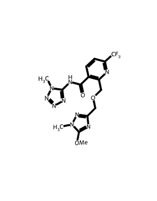 COc1nc(COCc2nc(C(F)(F)F)ccc2C(=O)Nc2nnnn2C)nn1C